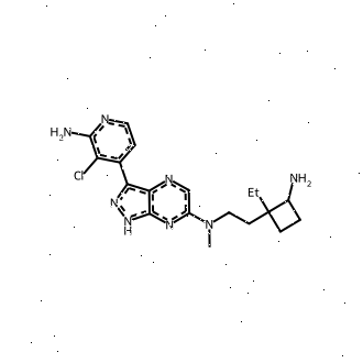 CCC1(CCN(C)c2cnc3c(-c4ccnc(N)c4Cl)n[nH]c3n2)CCC1N